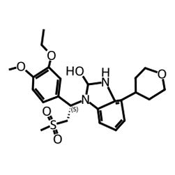 CCOc1cc([C@@H](CS(C)(=O)=O)N2c3cccc(C4CCOCC4)c3NC2O)ccc1OC